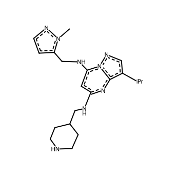 CC(C)c1cnn2c(NCc3ccnn3C)cc(NCC3CCNCC3)nc12